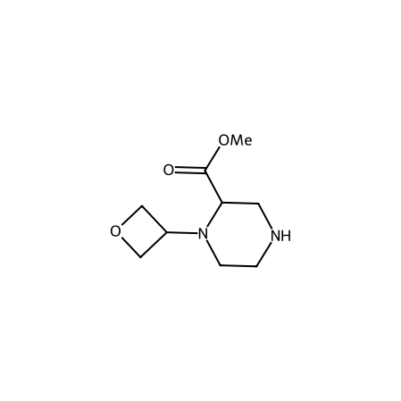 COC(=O)C1CNCCN1C1COC1